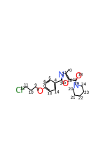 Cc1nc(-c2ccc(OCCCCl)cc2)oc1C(=O)N1CCCCC1